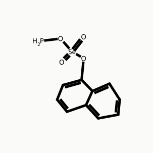 O=[Se](=O)(OP)Oc1cccc2ccccc12